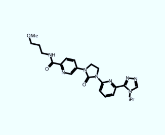 COCCCNC(=O)c1ccc(N2CCN(c3cccc(-c4nncn4C(C)C)n3)C2=O)cn1